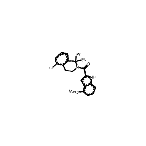 CCC1(C(C)C)c2cccc(Cl)c2CCN1C(=O)c1cc2c(OC)cccc2[nH]1